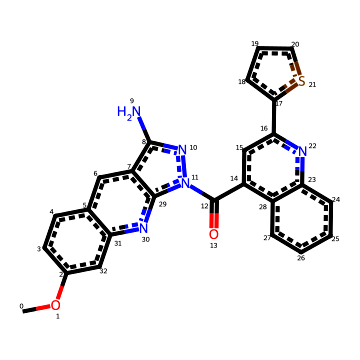 COc1ccc2cc3c(N)nn(C(=O)c4cc(-c5cccs5)nc5ccccc45)c3nc2c1